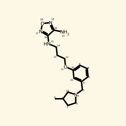 CC1CCN(Cc2cccc(OCCCNc3nonc3N)c2)C1